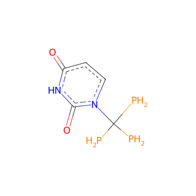 O=c1ccn(C(P)(P)P)c(=O)[nH]1